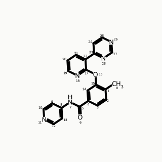 Cc1ccc(C(=O)Nc2ccncc2)cc1Oc1ncccc1-c1ccncn1